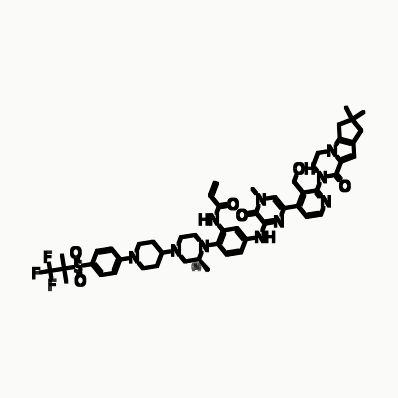 C=CC(=O)Nc1cc(Nc2nc(-c3ccnc(N4CCn5c(cc6c5CC(C)(C)C6)C4=O)c3CO)cn(C)c2=O)ccc1N1CCN(C2CCN(c3ccc(S(=O)(=O)C(C)(C)C(F)(F)F)cc3)CC2)C[C@@H]1C